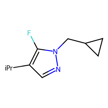 CC(C)c1cnn(CC2CC2)c1F